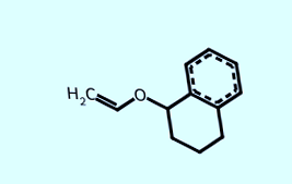 C=COC1CCCc2ccccc21